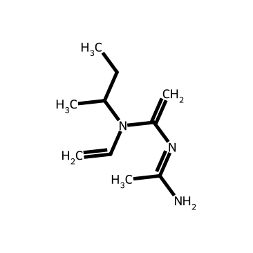 C=CN(C(=C)/N=C(\C)N)C(C)CC